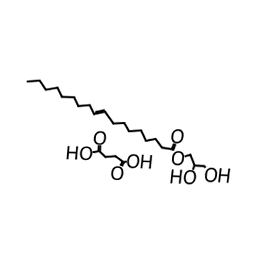 CCCCCCCCC=CCCCCCCCC(=O)OCC(O)CO.O=C(O)CCC(=O)O